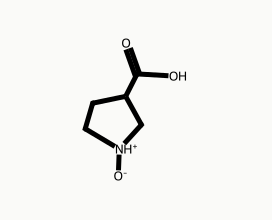 O=C(O)C1CC[NH+]([O-])C1